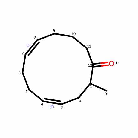 CC1C/C=C\CC/C=C\CCCC1=O